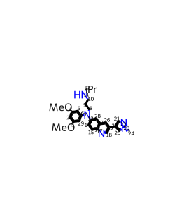 COc1cc(OC)cc(N(CCCNC(C)C)c2ccc3ncc(-c4cnn(C)c4)cc3c2)c1